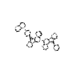 c1ccc(-n2c3ccccc3c3cc(-c4cc5c6ccccc6n(-c6ccc(-c7cccc8ccccc78)cc6)c5c5ccccc45)c4ccccc4c32)cc1